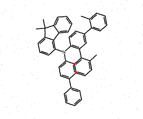 Cc1ccccc1-c1ccc(N(c2ccc(-c3ccccc3)cc2)c2cccc3c2-c2ccccc2C3(C)C)c(-c2ccccc2C)c1